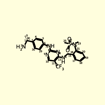 C[C@@H](N)c1ccc(Nc2ncc(C(F)(F)F)c(NCc3ccccc3N(C)S(C)(=O)=O)n2)cc1